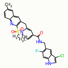 C=N/C(=C\C(=C/C)C(=O)NCc1cc2c(Cl)c[nH]c2cc1F)Cc1cc2cc(C)ccc2nc1S(C)(=O)=O